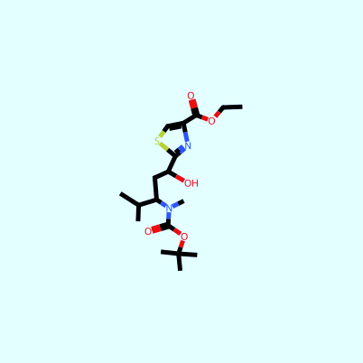 CCOC(=O)c1csc(C(O)CC(C(C)C)N(C)C(=O)OC(C)(C)C)n1